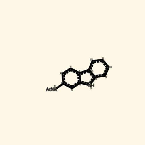 CC(=O)Nc1ccc2c(c1)[nH]c1ccccc12